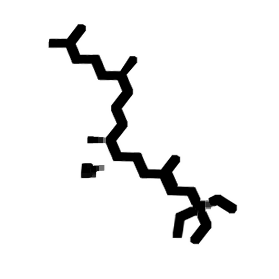 CC[N+](CC)(CC)C/C=C(\C)CCC[C@H](C)CCC[C@H](C)CCCC(C)C.[Br-]